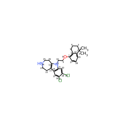 CC1(C)CCCc2c(OCCn3c4c(c5cc(Cl)c(Cl)cc53)CCNCC4)cccc21